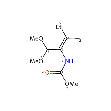 CC/C(C)=C(/NC(=O)OC)C(OC)OC